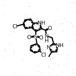 Cc1c[nH]c(CNC(=O)c2[nH]c3ccc(Cl)cc3c2S(=O)(=O)c2cccc(Cl)c2)n1